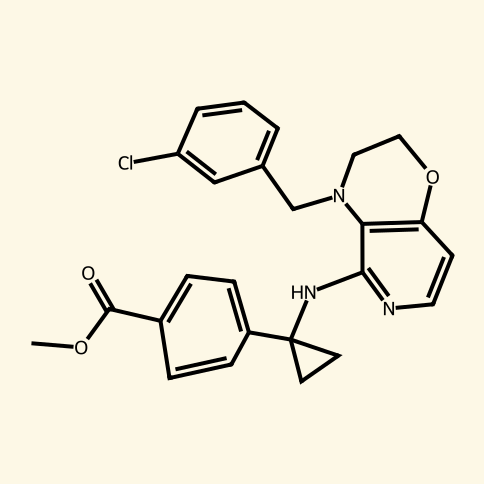 COC(=O)c1ccc(C2(Nc3nccc4c3N(Cc3cccc(Cl)c3)CCO4)CC2)cc1